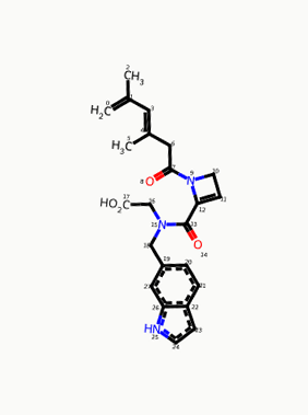 C=C(C)/C=C(\C)CC(=O)N1CC=C1C(=O)N(CC(=O)O)Cc1ccc2cc[nH]c2c1